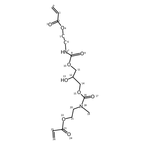 C=CC(=O)OCCNC(=O)OCC(O)COC(=O)N(C)CCOC(=O)C=C